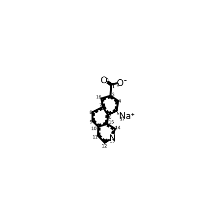 O=C([O-])c1ccc2c(ccc3ccncc32)c1.[Na+]